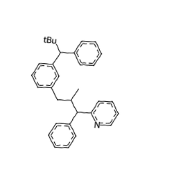 CC(Cc1cccc(C(c2ccccc2)C(C)(C)C)c1)C(c1ccccc1)c1ccccn1